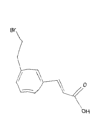 O=C(O)C=Cc1cccc(CCBr)c1